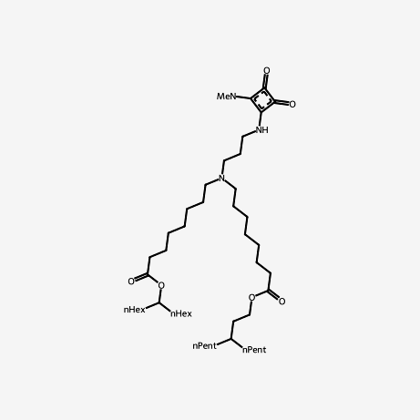 CCCCCCC(CCCCCC)OC(=O)CCCCCCCN(CCCCCCCC(=O)OCCC(CCCCC)CCCCC)CCCNc1c(NC)c(=O)c1=O